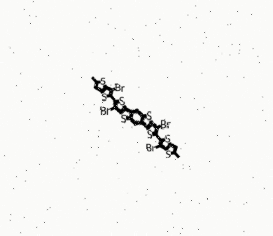 Cc1cc2sc(-c3sc4c(sc5cc6c(cc54)sc4c(Br)c(-c5sc7cc(C)sc7c5Br)sc46)c3Br)c(Br)c2s1